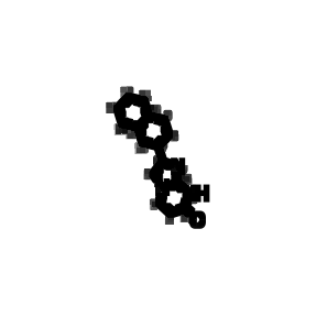 O=c1ccn2cc(-c3ccc4ccccc4c3)nc2[nH]1